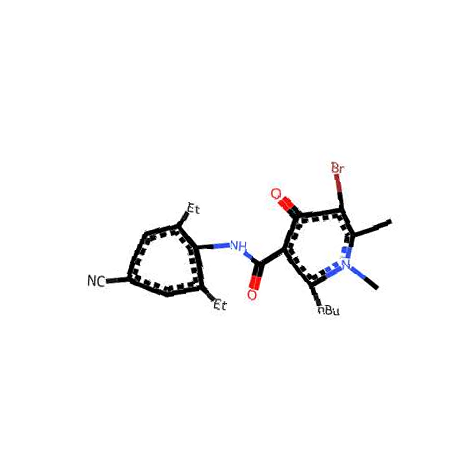 CCCCc1c(C(=O)Nc2c(CC)cc(C#N)cc2CC)c(=O)c(Br)c(C)n1C